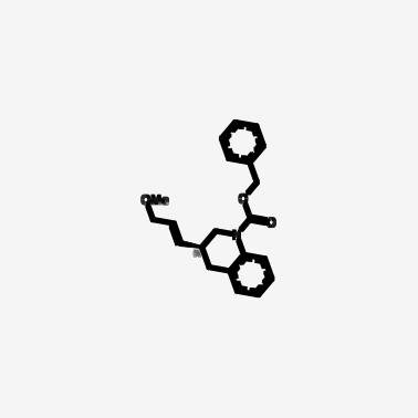 COCC=C[C@@H]1Cc2ccccc2N(C(=O)OCc2ccccc2)C1